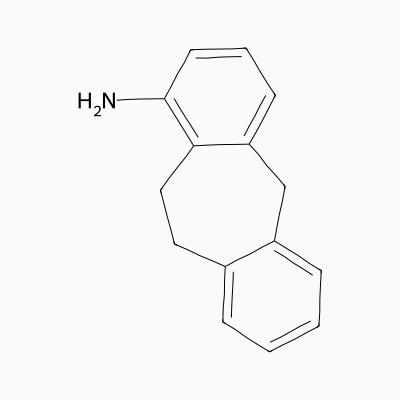 Nc1cccc2c1CCc1ccccc1C2